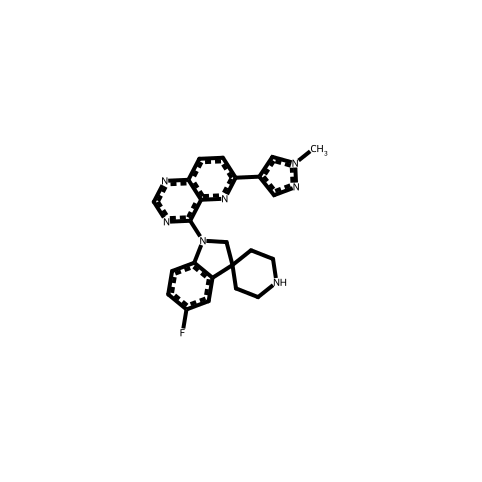 Cn1cc(-c2ccc3ncnc(N4CC5(CCNCC5)c5cc(F)ccc54)c3n2)cn1